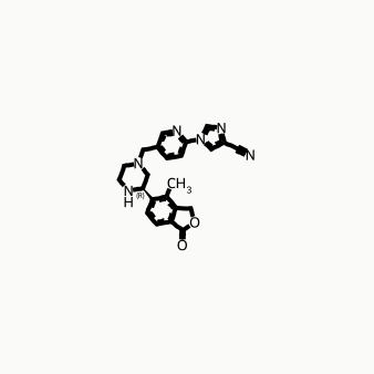 Cc1c([C@@H]2CN(Cc3ccc(-n4cnc(C#N)c4)nc3)CCN2)ccc2c1COC2=O